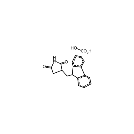 O=C(O)O.O=C1CC(CC2c3ccccc3-c3ccccc32)C(=O)N1